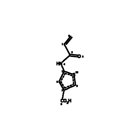 C=CC(=O)Nc1cc(C(=O)O)cs1